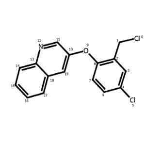 ClCc1cc(Cl)ccc1Oc1cnc2ccccc2c1